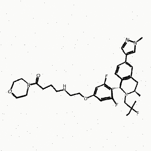 C[C@@H]1Cc2cc(-c3cnn(C)c3)ccc2[C@@H](c2c(F)cc(OCCNCCCC(=O)N3CCOCC3)cc2F)N1CC(C)(C)F